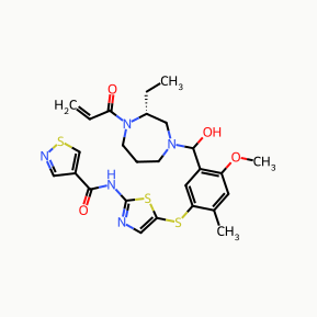 C=CC(=O)N1CCCN(C(O)c2cc(Sc3cnc(NC(=O)c4cnsc4)s3)c(C)cc2OC)C[C@H]1CC